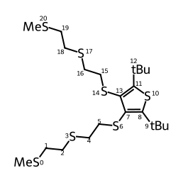 CSCCSCCSc1c(C(C)(C)C)sc(C(C)(C)C)c1SCCSCCSC